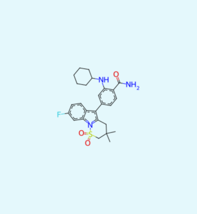 CC1(C)Cc2c(-c3ccc(C(N)=O)c(NC4CCCCC4)c3)c3ccc(F)cc3n2S(=O)(=O)C1